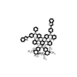 Cc1cccc(C)c1N1c2cc(N(c3ccccc3)c3ccc(-c4cc5ccccc5s4)cc3)ccc2B2c3ccc(N(c4ccccc4)c4ccc(-c5cc6ccccc6s5)cc4)cc3N(c3c(C)cccc3C)c3cc(N(c4ccc5c(c4)C(C)(C)CCC5(C)C)c4ccc5c(c4)C(C)(C)CCC5(C)C)cc1c32